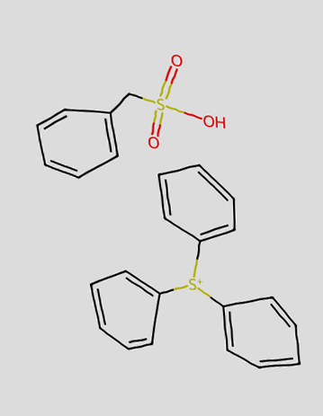 O=S(=O)(O)Cc1ccccc1.c1ccc([S+](c2ccccc2)c2ccccc2)cc1